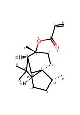 C=CC(=O)O[C@]1(C)CC[C@@]23C[C@@H]1C(C)(C)[C@@H]2CC[C@H]3C